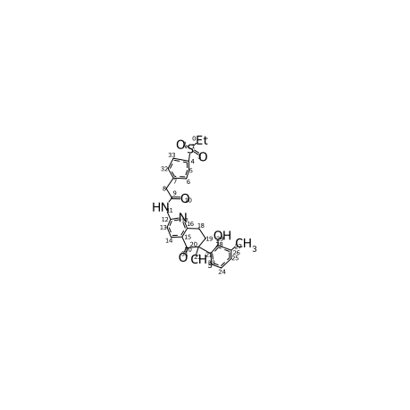 CCS(=O)(=O)c1ccc(CC(=O)Nc2ccc3c(n2)CCC(C)(c2cccc(C)c2O)C3=O)cc1